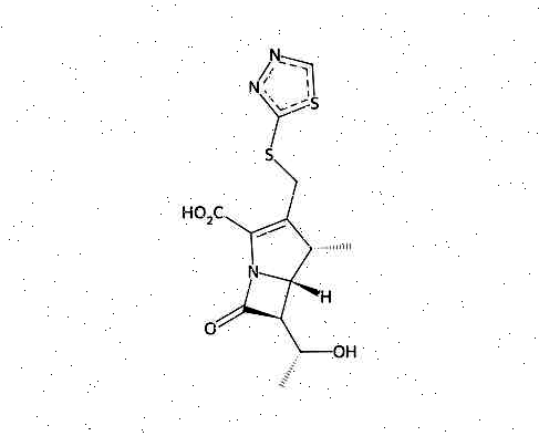 C[C@@H](O)[C@H]1C(=O)N2C(C(=O)O)=C(CSc3nncs3)[C@H](C)[C@H]12